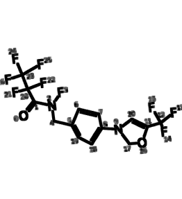 O=C(N(F)Cc1ccc(N2C=C(C(F)(F)F)OC2)cc1)C(F)(F)C(F)(F)F